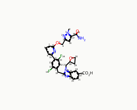 Cn1nc(COc2cccc(-c3cc(F)c(Cc4nc5ccc(C(=O)O)cc5n4CC4CCO4)cc3F)n2)cc1C(N)=O